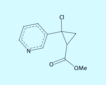 COC(=O)C1CC1(Cl)c1cccnc1